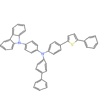 c1ccc(-c2ccc(N(c3ccc(-c4ccc(-c5ccccc5)s4)cc3)c3ccc(-n4c5ccccc5c5ccccc54)cc3)cc2)cc1